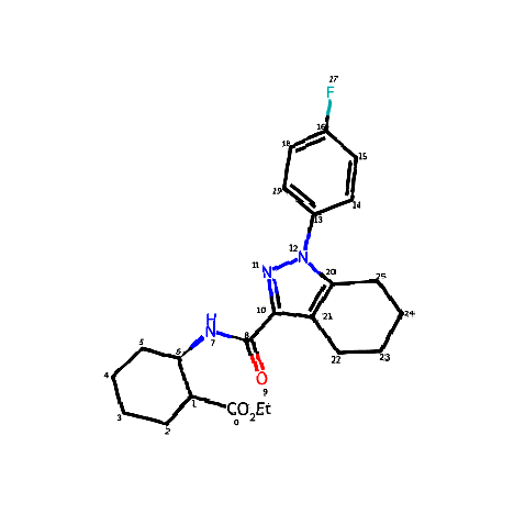 CCOC(=O)C1CCCC[C@H]1NC(=O)c1nn(-c2ccc(F)cc2)c2c1CCCC2